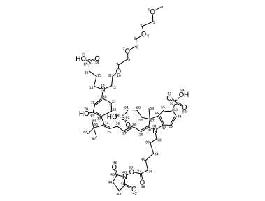 COCCOCCOCCOCCN(CCCS(=O)O)c1ccc(/C(=C\C/C=C/C=C2/N(CCCCCC(=O)ON3C(=O)CCC3=O)c3ccc(S(=O)(=O)O)cc3C2(C)CCCS(=O)O)C(C)(C)C)c(O)c1